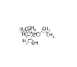 C=CC(C/C=C\C)C1=CCC(CC(CC(=C)CO)NC(C)OC(C)(C)C)C=C1